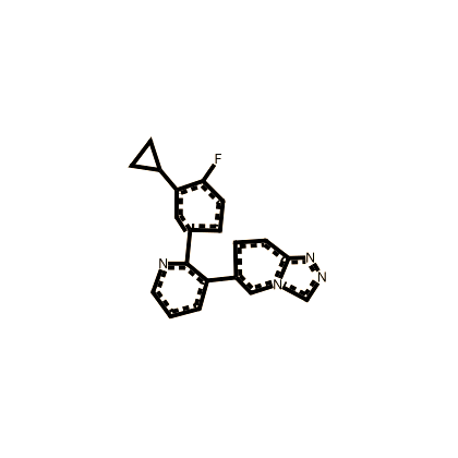 Fc1ccc(-c2ncccc2-c2ccc3nncn3c2)cc1C1CC1